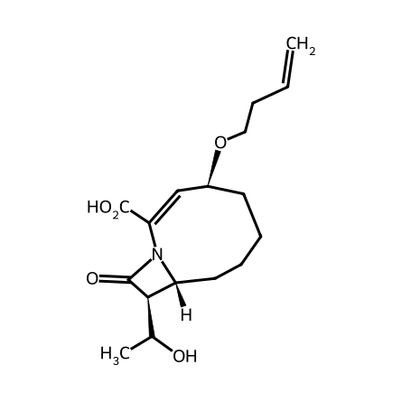 C=CCCO[C@@H]1C=C(C(=O)O)N2C(=O)[C@H](C(C)O)[C@H]2CCCC1